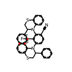 N#Cc1ccc(N2c3ccccc3SCC2c2ccccc2)c(C(F)(F)F)c1N1c2ccccc2SCC1c1ccccc1